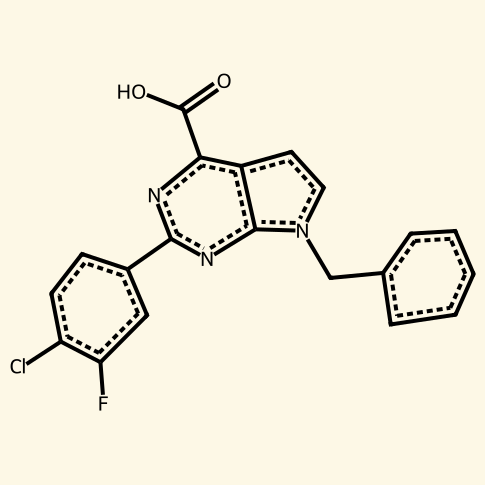 O=C(O)c1nc(-c2ccc(Cl)c(F)c2)nc2c1ccn2Cc1ccccc1